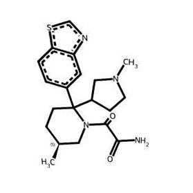 C[C@H]1CCC(c2ccc3scnc3c2)(C2CCN(C)C2)N(C(=O)C(N)=O)C1